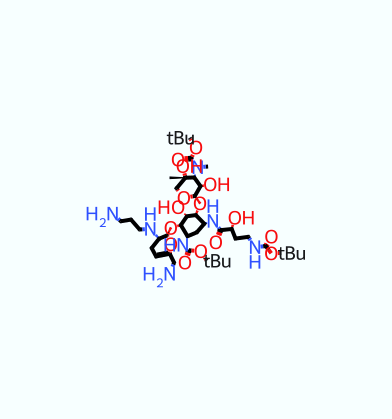 CN(C(=O)OC(C)(C)C)[C@@H]1[C@@H](O)[C@@H](O[C@@H]2[C@@H](O)[C@H](O[C@H]3OC(CN)=CC[C@H]3NCCCN)[C@@H](NC(=O)OC(C)(C)C)C[C@H]2NC(=O)[C@@H](O)CCNC(=O)OC(C)(C)C)OC[C@]1(C)O